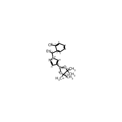 CCC(c1ccccc1Cl)n1cc(B2OC(C)(C)C(C)(C)O2)cn1